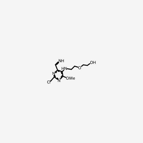 COc1nc(Cl)nc(C=N)c1NCCOCCO